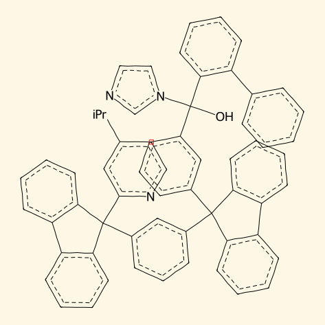 CC(C)c1ccnc(C2(c3cccc(C4(c5cccc(C(O)(c6ccccc6-c6ccccc6)n6ccnc6)c5)c5ccccc5-c5ccccc54)c3)c3ccccc3-c3ccccc32)c1